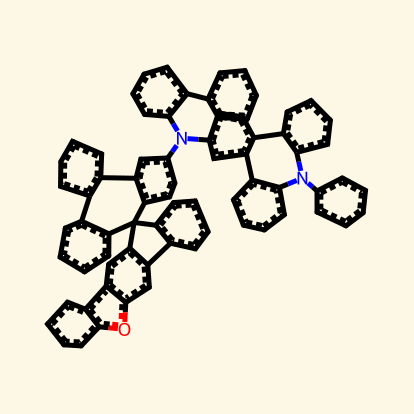 c1ccc(-c2ccccc2N(c2ccc3c(c2)-c2ccccc2N(c2ccccc2)c2ccccc2-3)c2ccc3c(c2)-c2ccccc2-c2ccccc2C32c3ccccc3-c3cc4oc5ccccc5c4cc32)cc1